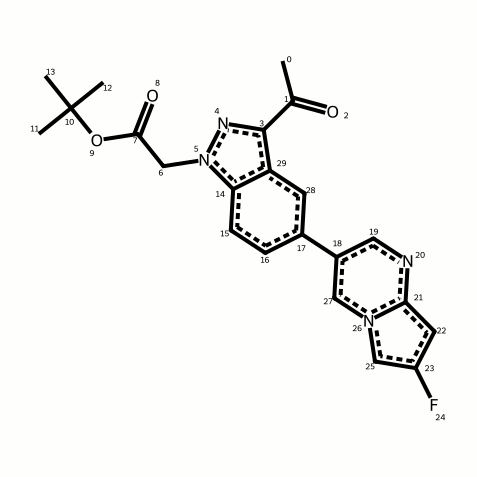 CC(=O)c1nn(CC(=O)OC(C)(C)C)c2ccc(-c3cnc4cc(F)cn4c3)cc12